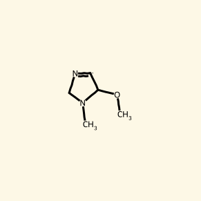 COC1[C]=NCN1C